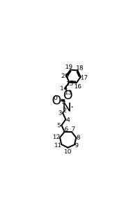 O=C([N]CCCC1CCCCCC1)OCc1ccccc1